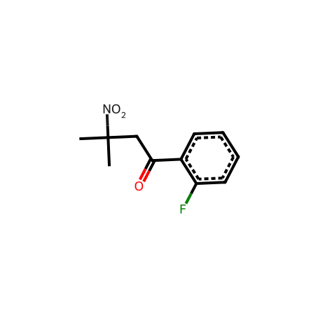 CC(C)(CC(=O)c1ccccc1F)[N+](=O)[O-]